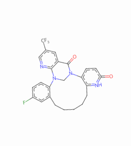 O=C1c2cc(C(F)(F)F)cnc2N2CN1c1ccc(=O)[nH]c1CCCCCc1cc(F)ccc12